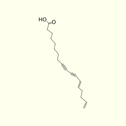 C=CCC/C=C/C#CC#CCCCCCCCC(=O)O